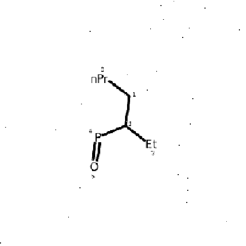 CCCCC(CC)P=O